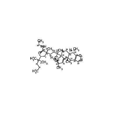 CCCC(C)(C)CC[C@@](C)(CCC(C)(C)[C@]1(C)CC[C@H]2[C@H](C)c3oncc3C[C@]2(C)/C1=C/C(C)=O)C(=O)NCC